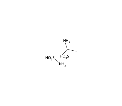 CC(N)S(=O)(=O)O.NS(=O)(=O)O